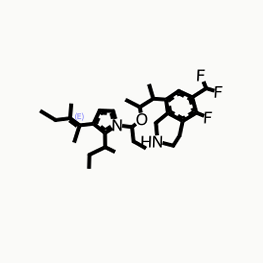 CC/C(C)=C(\C)c1ccn(C(CC)OC(C)C(C)c2cc(C(F)F)c(F)c3c2CNCC3)c1C(C)CC